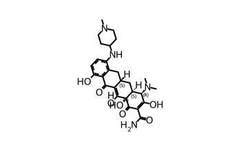 CN1CCC(Nc2ccc(O)c3c2C[C@@H]2C[C@H]4[C@@H](N(C)C)C(O)=C(C(N)=O)C(=O)[C@]4(O)C(O)=C2C3=O)CC1